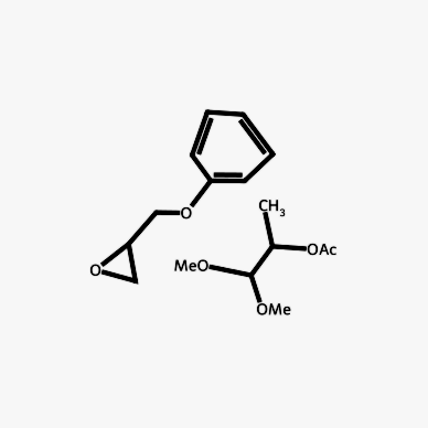 COC(OC)C(C)OC(C)=O.c1ccc(OCC2CO2)cc1